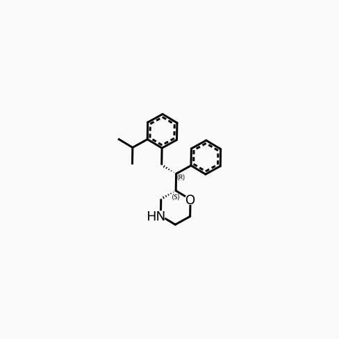 CC(C)c1ccccc1C[C@H](c1ccccc1)[C@H]1CNCCO1